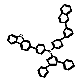 c1ccc(-c2cc(-c3ccccc3)cc(N(c3ccc(-c4cccc(-c5ccc6ccccc6c5)c4)cc3)c3ccc(-c4ccc5c(c4)oc4ccccc45)cc3)c2)cc1